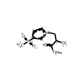 COC(=O)C(C)Cn1ccc(S(C)(=O)=O)c1